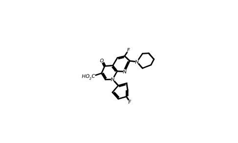 O=C(O)c1cn(-c2ccc(F)cc2)c2nc(N3CCCCC3)c(F)cc2c1=O